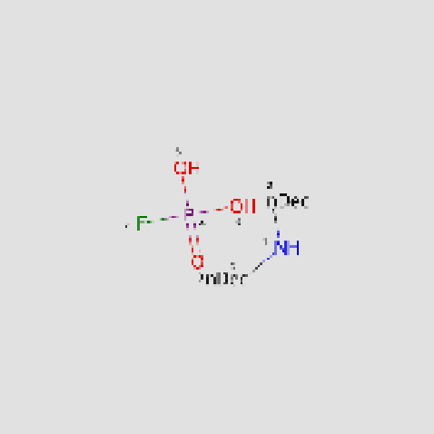 CCCCCCCCCCNCCCCCCCCCC.O=P(O)(O)F